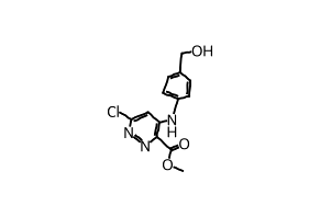 COC(=O)c1nnc(Cl)cc1Nc1ccc(CO)cc1